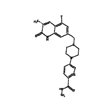 CNC(=O)c1ccc(N2CCN(Cc3cc(F)c4cc(C)c(=O)[nH]c4c3)CC2)cn1